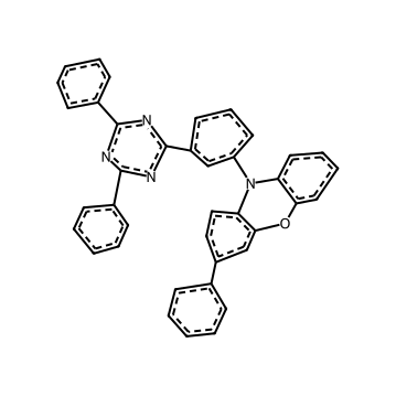 c1ccc(-c2ccc3c(c2)Oc2ccccc2N3c2cccc(-c3nc(-c4ccccc4)nc(-c4ccccc4)n3)c2)cc1